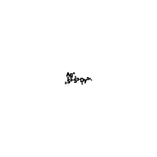 [Ag+].[Dy+3].[S-2].[S-2]